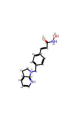 O=C(/C=C/c1ccc(CN2CCc3cccnc32)cc1)NO